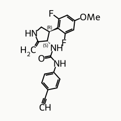 C#Cc1ccc(NC(=O)N[C@@H]2C(=C)NC[C@H]2c2c(F)cc(OC)cc2F)cc1